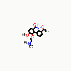 CCOc1ccc(C(N)=O)c(-c2cccc(C(=O)CC)c2)c1OCCN(CC)CC